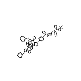 CC(C)(C)OC(=O)NCCCNC(=O)c1ccc(-c2ccn(S(=O)(=O)NC(=O)OCc3ccccc3)c2C(=O)OCc2ccccc2)cc1